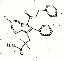 CC(C)(Cn1c(-c2ccccc2)c(C(=O)CCc2ccccc2)c2cc(F)ccc21)C(N)=O